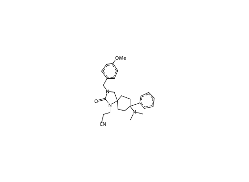 COc1ccc(CN2CC3(CCC(c4ccccc4)(N(C)C)CC3)N(CCC#N)C2=O)cc1